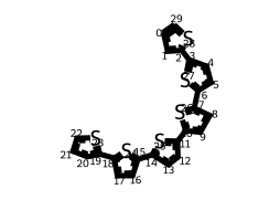 c1cc(-c2ccc(-c3ccc(-c4ccc(-c5ccc(-c6cccs6)s5)s4)s3)s2)sc#1